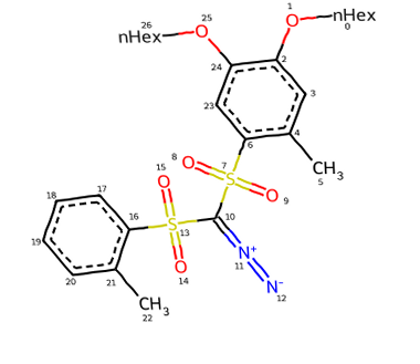 CCCCCCOc1cc(C)c(S(=O)(=O)C(=[N+]=[N-])S(=O)(=O)c2ccccc2C)cc1OCCCCCC